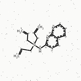 C=CC[Si](CC=C)(CC=C)Nc1ncc2cccnc2n1